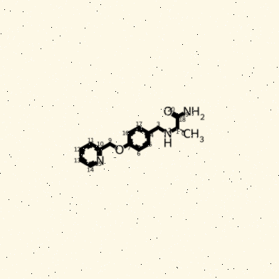 C[C@H](NCc1ccc(OCc2ccccn2)cc1)C(N)=O